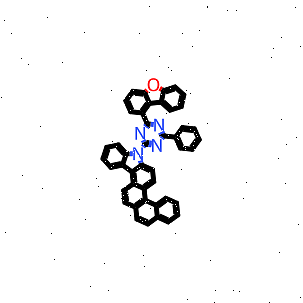 c1ccc(-c2nc(-c3cccc4oc5ccccc5c34)nc(-n3c4ccccc4c4c5ccc6ccc7ccccc7c6c5ccc43)n2)cc1